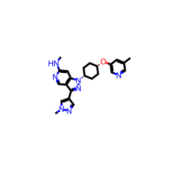 CNc1cc2c(cn1)c(-c1cnn(C)c1)nn2[C@H]1CC[C@@H](Oc2cncc(C)c2)CC1